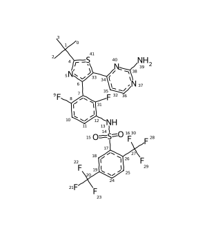 CC(C)(C)c1nc(-c2c(F)ccc(NS(=O)(=O)c3cc(C(F)(F)F)ccc3C(F)(F)F)c2F)c(-c2ccnc(N)n2)s1